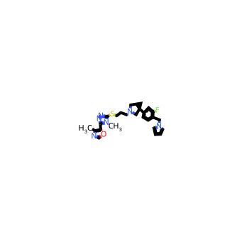 Cc1ncoc1-c1nnc(SCCCN2CC3CC3(c3ccc(Cn4cccc4)c(F)c3)C2)n1C